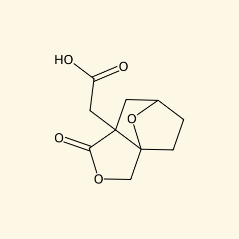 O=C(O)CC12CC3CCC1(COC2=O)O3